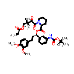 C=CC(=O)OCC(C)(C)C(=O)C(=O)N1CCCCC1C(=O)O[C@H](CCc1ccc(OC)c(OC)c1)c1cccc(NC(=O)OC(C)(C)C)c1